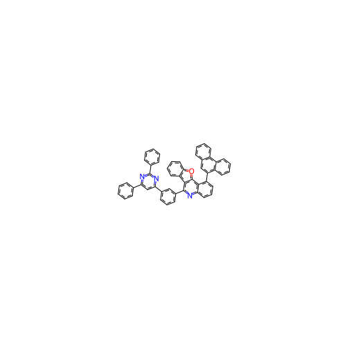 c1ccc(-c2cc(-c3cccc(-c4nc5cccc(-c6cc7ccccc7c7ccccc67)c5c5oc6ccccc6c45)c3)nc(-c3ccccc3)n2)cc1